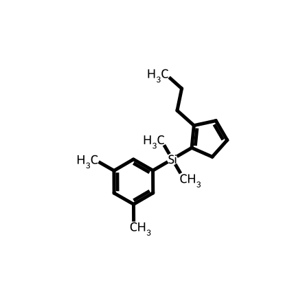 CCCC1=C([Si](C)(C)c2cc(C)cc(C)c2)CC=C1